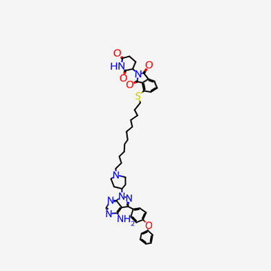 Nc1ncnc2c1c(-c1ccc(Oc3ccccc3)cc1)nn2C1CCN(CCCCCCCCCCCCSc2cccc3c2C(=O)N(C2CCC(=O)NC2=O)C3=O)CC1